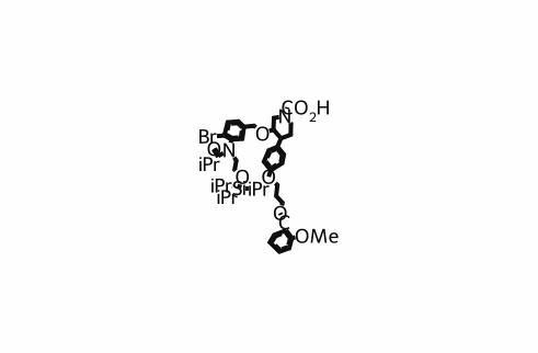 COc1ccccc1COCCCOc1ccc(C2CCN(C(=O)O)CC2OCc2ccc(Br)c(N(CCO[Si](C(C)C)(C(C)C)C(C)C)C(=O)C(C)C)c2)cc1